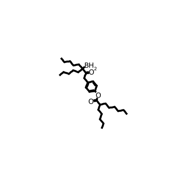 BC(CCCCC)(CCCCC)C(=O)Cc1ccc(OC(=O)C(CCCCC)CCCCCC)cc1